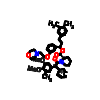 COc1cc([C@@H](C(=O)N2CCCC[C@H]2C(=O)OC(CCc2ccc(C)c(C)c2)c2cccc(OCCN3CCOCC3)c2)[C@@H]2C=CCCC2)cc(C)c1OC